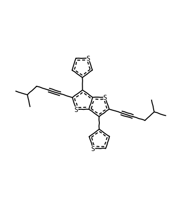 CC(C)CC#Cc1sc2c(-c3ccsc3)c(C#CCC(C)C)sc2c1-c1ccsc1